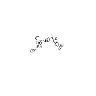 CCN(C(=O)Cc1ccc(S(C)(=O)=O)cc1)C1CCN(CCC(OC(=O)NCCN2CCCC2)c2ccccc2)CC1